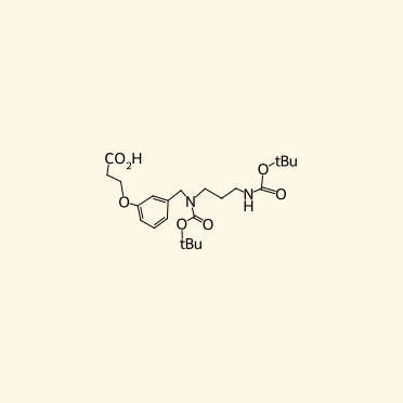 CC(C)(C)OC(=O)NCCCN(Cc1cccc(OCCC(=O)O)c1)C(=O)OC(C)(C)C